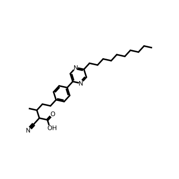 CCCCCCCCCCc1cnc(-c2ccc(CCC(C)C(C#N)C(=O)O)cc2)cn1